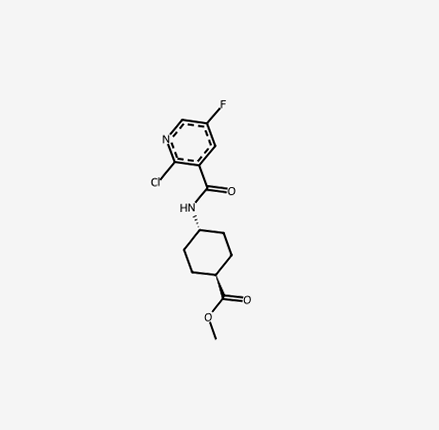 COC(=O)[C@H]1CC[C@H](NC(=O)c2cc(F)cnc2Cl)CC1